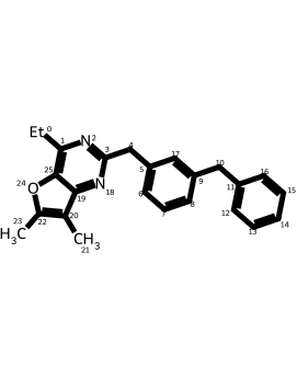 CCc1nc(Cc2cccc(Cc3ccccc3)c2)nc2c(C)c(C)oc12